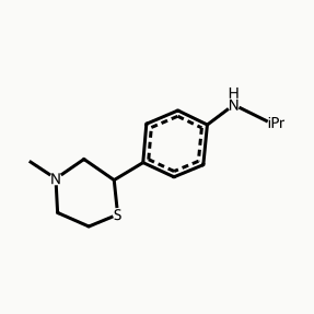 CC(C)Nc1ccc(C2CN(C)CCS2)cc1